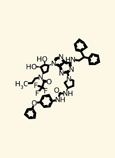 CCCN(C(=O)C(F)(F)F)[C@H]1C[C@@H](n2cnc3c(NCC(c4ccccc4)c4ccccc4)nc(N4CC[C@@H](NC(=O)Nc5ccc(Oc6ccccc6)cc5)C4)nc32)[C@H](O)[C@@H]1O